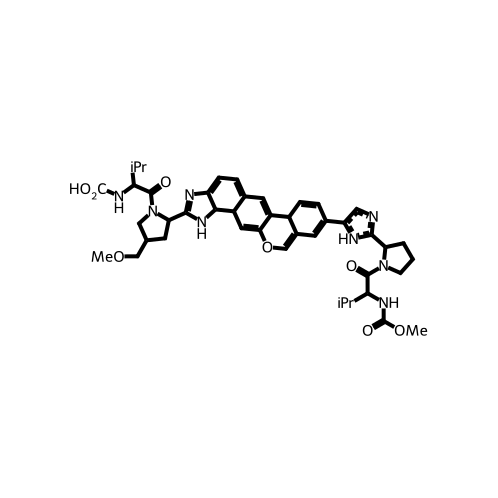 COCC1CC(C2=NC3=CC=C4C=C5C(=CC4C3N2)OC=C2C=C(c3cnc(C4CCCN4C(=O)C(NC(=O)OC)C(C)C)[nH]3)C=CC25)N(C(=O)C(NC(=O)O)C(C)C)C1